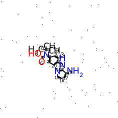 CC(C)(C)N(C(=O)O)c1ccc(Nc2ncccc2N)cc1